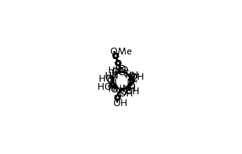 COc1ccc(-c2ccc(C(=O)N[C@H]3CC(=O)CNC(=O)[C@@H]4[C@@H](O)[C@@H](C)CN4C(=O)[C@H](CO)NC(=O)[C@H]([C@H](O)Cc4ccc(O)cc4)NC(=O)[C@@H]4C[C@@H](O)CN4C(=O)[C@H]([C@@H](C)O)NC3=O)cc2)cc1